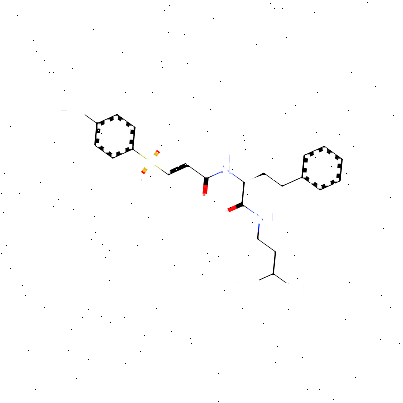 Cc1ccc(S(=O)(=O)/C=C/C(=O)N[C@@H](CCc2ccccc2)C(=O)NCCC(C)C)cc1